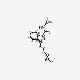 COOCCCn1nc(C(C)NC2CC2)c2ccccc21